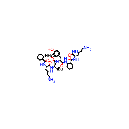 CCCC[C@@H](NC(=O)[C@@H](CCCCN)NC(=O)C1CCCC[C@H]1NC(C)=O)C1C(=O)N1[C@H](Cc1ccc(O)cc1)C(=O)N[C@@H]1CCCC[C@@H]1C(=O)N[C@H](CCCCN)C(N)=O